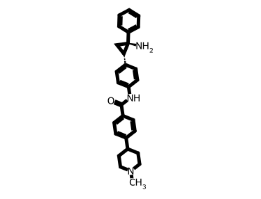 CN1CCC(c2ccc(C(=O)Nc3ccc([C@@H]4C[C@]4(N)c4ccccc4)cc3)cc2)CC1